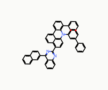 c1ccc(-c2cccc(N3c4c(-c5ccccc5)cccc4-c4cccc5c(-c6nc(-c7ccc8ccccc8c7)c7ccccc7n6)ccc3c45)c2)cc1